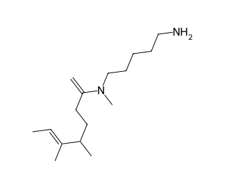 C=C(CCC(C)C(C)=CC)N(C)CCCCCN